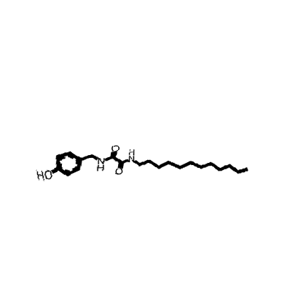 CCCCCCCCCCCCNC(=O)C(=O)NCc1ccc(O)cc1